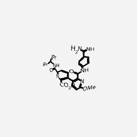 COc1ccc(-c2ccc(C(=O)NC(C(C)C)C(C)C)nc2C(=O)O)c(C(=O)Nc2ccc(C(=N)N)cc2)n1